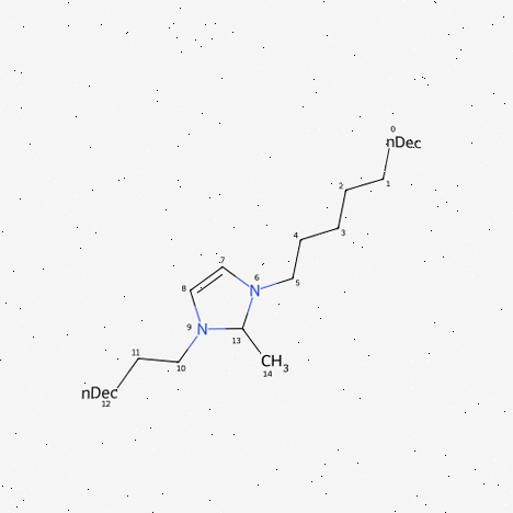 CCCCCCCCCCCCCCCN1C=CN(CCCCCCCCCCCC)C1C